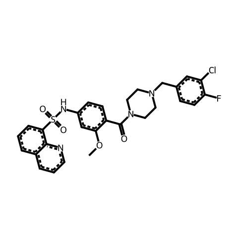 COc1cc(NS(=O)(=O)c2cccc3cccnc23)ccc1C(=O)N1CCN(Cc2ccc(F)c(Cl)c2)CC1